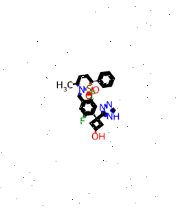 C[C@H]1CC[C@H](c2ccccc2)S(=O)(=O)N1Cc1cc(F)c([C@]2(c3nnc[nH]3)C[C@H](O)C2)cc1F